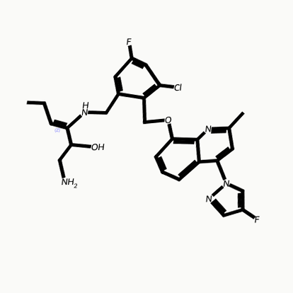 CC/C=C(\NCc1cc(F)cc(Cl)c1COc1cccc2c(-n3cc(F)cn3)cc(C)nc12)C(O)CN